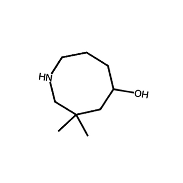 CC1(C)CNCCCC(O)C1